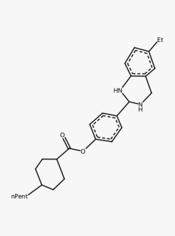 CCCCCC1CCC(C(=O)Oc2ccc(C3NCc4cc(CC)ccc4N3)cc2)CC1